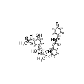 CC(C)(Cc1cccc(CC(=O)NCc2ccc(F)cc2)c1)NC[C@H](O)c1ccc(O)c(NS(C)(=O)=O)c1